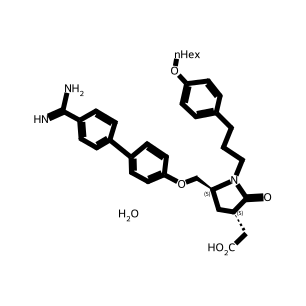 CCCCCCOc1ccc(CCCN2C(=O)[C@H](CC(=O)O)C[C@H]2COc2ccc(-c3ccc(C(=N)N)cc3)cc2)cc1.O